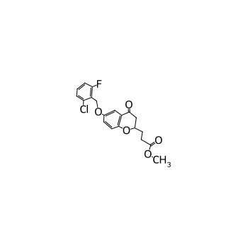 COC(=O)CCC1CC(=O)c2cc(OCc3c(F)cccc3Cl)ccc2O1